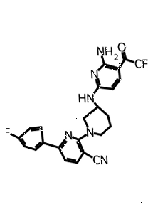 N#Cc1ccc(-c2ccc(F)cc2)nc1N1CCCC(Nc2ccc(C(=O)C(F)(F)F)c(N)n2)C1